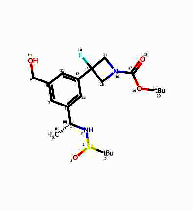 C[C@@H](N[S+]([O-])C(C)(C)C)c1cc(CO)cc(C2(F)CN(C(=O)OC(C)(C)C)C2)c1